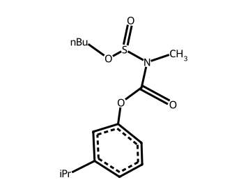 CCCCOS(=O)N(C)C(=O)Oc1cccc(C(C)C)c1